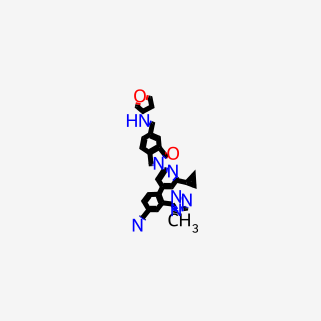 Cn1cnnc1-c1cc(C#N)ccc1-c1cc(C2CC2)nc(N2Cc3ccc(CN[C@H]4CCOC4)cc3C2=O)c1